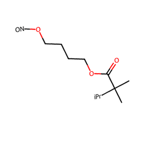 CC(C)C(C)(C)C(=O)OCCCCON=O